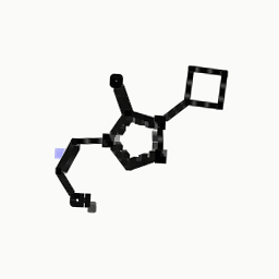 C/C=C\n1cnn(C2CCC2)c1=O